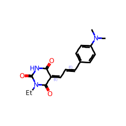 CCN1C(=O)NC(=O)/C(=C\C=C\c2ccc(N(C)C)cc2)C1=O